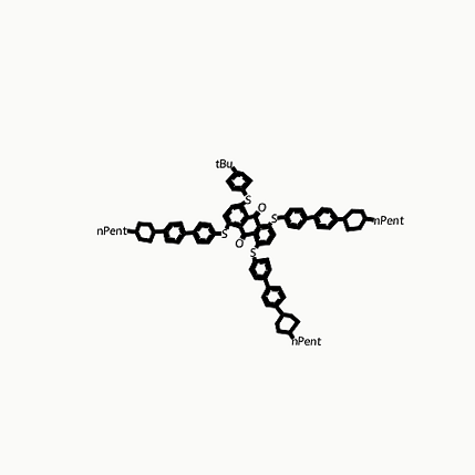 CCCCCC1CCC(c2ccc(-c3ccc(Sc4ccc(Sc5ccc(-c6ccc(C7CCC(CCCCC)CC7)cc6)cc5)c5c4C(=O)c4c(Sc6ccc(-c7ccc(C8CCC(CCCCC)CC8)cc7)cc6)ccc(Sc6ccc(C(C)(C)C)cc6)c4C5=O)cc3)cc2)CC1